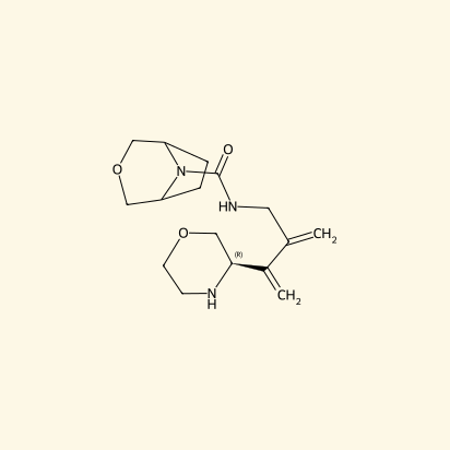 C=C(CNC(=O)N1C2CCC1COC2)C(=C)[C@@H]1COCCN1